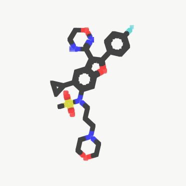 CS(=O)(=O)N(CCCN1CCOCC1)c1cc2oc(-c3ccc(F)cc3)c(C3=NOCCN3)c2cc1C1CC1